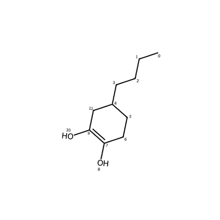 CCCCC1CCC(O)=C(O)C1